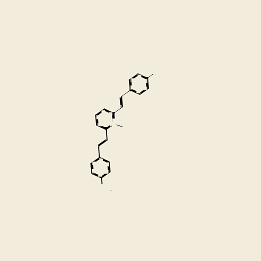 CC[n+]1c(/C=C/c2ccc(C(C)(C)C)cc2)cccc1/C=C/c1ccc(C(C)(C)C)cc1